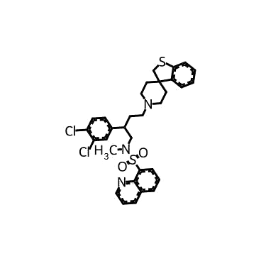 CN(CC(CCN1CCC2(CC1)CSc1ccccc12)c1ccc(Cl)c(Cl)c1)S(=O)(=O)c1cccc2cccnc12